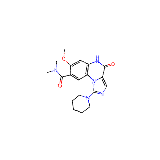 COc1cc2[nH]c(=O)c3cnc(N4CCCCC4)n3c2cc1C(=O)N(C)C